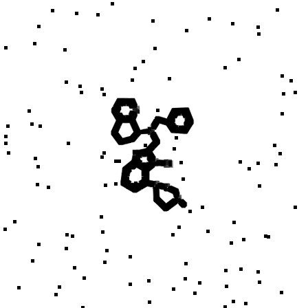 CCn1c(CN(Cc2ccccc2)[C@H]2CCCc3cccnc32)nc2cccc(N3CCN(C)CC3)c21